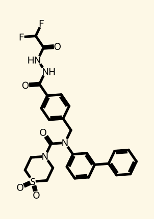 O=C(NNC(=O)C(F)F)c1ccc(CN(C(=O)N2CCS(=O)(=O)CC2)c2cccc(-c3ccccc3)c2)cc1